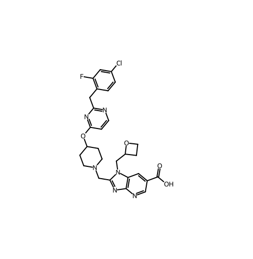 O=C(O)c1cnc2nc(CN3CCC(Oc4ccnc(Cc5ccc(Cl)cc5F)n4)CC3)n(CC3CCO3)c2c1